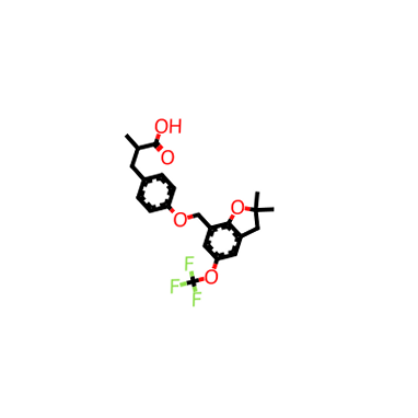 CC(Cc1ccc(OCc2cc(OC(F)(F)F)cc3c2OC(C)(C)C3)cc1)C(=O)O